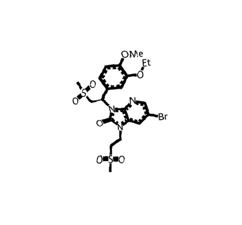 CCOc1cc([C@H](CS(C)(=O)=O)n2c(=O)n(CCS(C)(=O)=O)c3cc(Br)cnc32)ccc1OC